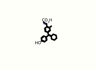 Cc1cc(C(=C2CCCCC2)c2ccc(O)cc2)ccc1/C=C/C(=O)O